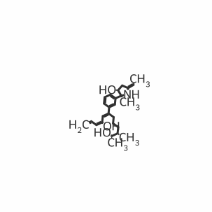 C=C/C=C(O)\C=C(/CCC[C@@H](C)[C@H](C)O)c1cccc(C2(C)N/C(=C/C)C[C@@H]2O)c1